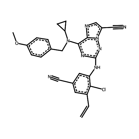 C=Cc1cc(C#N)cc(Nc2nc(N(Cc3ccc(OC)cc3)C3CC3)c3ncc(C#N)n3n2)c1Cl